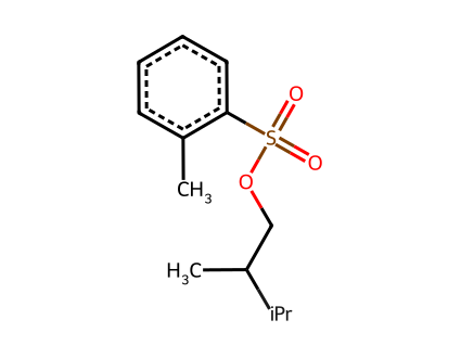 Cc1ccccc1S(=O)(=O)OCC(C)C(C)C